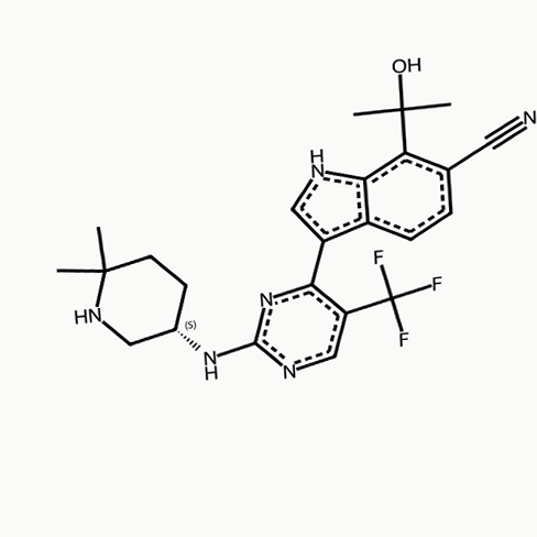 CC1(C)CC[C@H](Nc2ncc(C(F)(F)F)c(-c3c[nH]c4c(C(C)(C)O)c(C#N)ccc34)n2)CN1